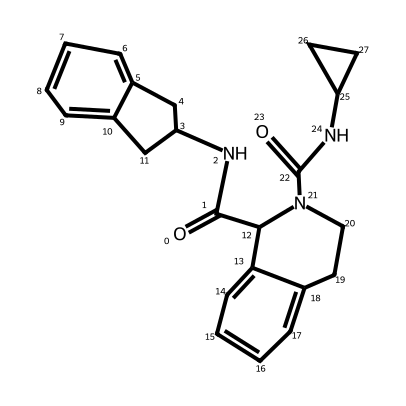 O=C(NC1Cc2ccccc2C1)C1c2ccccc2CCN1C(=O)NC1CC1